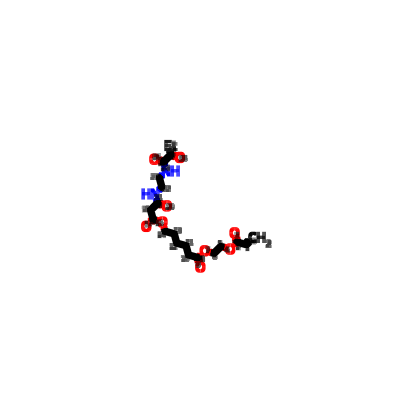 C=CC(=O)OCCOC(=O)CCCCCOC(=O)CC(=O)NCCNC(=O)C(=O)CC